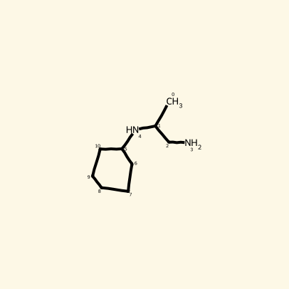 CC(CN)NC1CCCCC1